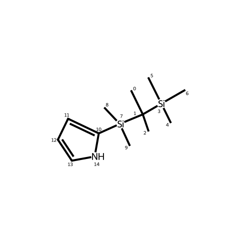 CC(C)([Si](C)(C)C)[Si](C)(C)c1ccc[nH]1